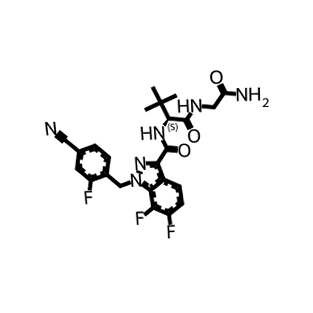 CC(C)(C)[C@H](NC(=O)c1nn(Cc2ccc(C#N)cc2F)c2c(F)c(F)ccc12)C(=O)NCC(N)=O